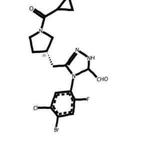 O=CC1NN=C(C[C@@H]2CCN(C(=O)C3CC3)C2)N1c1cc(Cl)c(Br)cc1F